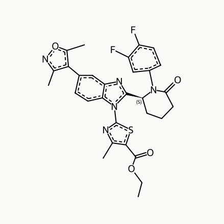 CCOC(=O)c1sc(-n2c([C@@H]3CCCC(=O)N3c3ccc(F)c(F)c3)nc3cc(-c4c(C)noc4C)ccc32)nc1C